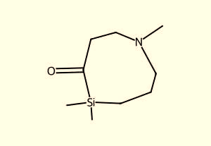 CN1CCC[Si](C)(C)C(=O)CC1